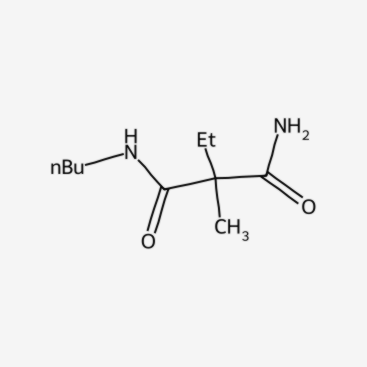 CCCCNC(=O)C(C)(CC)C(N)=O